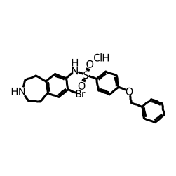 Cl.O=S(=O)(Nc1cc2c(cc1Br)CCNCC2)c1ccc(OCc2ccccc2)cc1